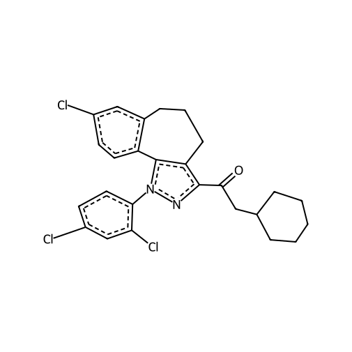 O=C(CC1CCCCC1)c1nn(-c2ccc(Cl)cc2Cl)c2c1CCCc1cc(Cl)ccc1-2